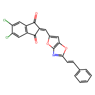 O=C1C(=Cc2cc3oc(/C=C/c4ccccc4)nc3o2)C(=O)c2cc(Cl)c(Cl)cc21